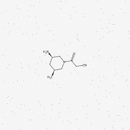 C[C@H]1C[C@@H](N)CN(C(=O)CC#N)C1